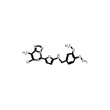 COc1ccc(CNc2ccc(-c3nc(Cl)c(C)c4ncnn34)o2)cc1OC